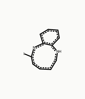 Ic1cccc[nH]c2ccccc2n1